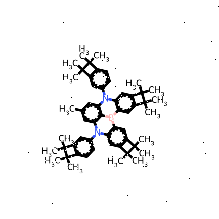 Cc1cc2c3c(c1)N(c1ccc4c(c1)C(C)(C)C4(C)C)c1cc4c(cc1B3c1cc3c(cc1N2c1ccc2c(c1)C(C)(C)C2(C)C)C(C)(C)C3(C)C)C(C)(C)C4(C)C